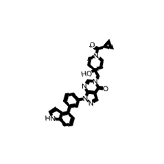 O=C(C1CC1)N1CCC(O)(Cn2cnc3c(cnn3-c3cccc(-c4cccc5[nH]ccc45)c3)c2=O)CC1